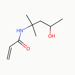 C=CC(=O)NC(C)(C)CC(C)O